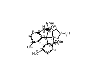 CNC(=O)[C@@H]1C[C@H](O)C[N+]1(C)C1(c2cc(C)ccc2OC)C(=O)Nc2ccc(Cl)cc21